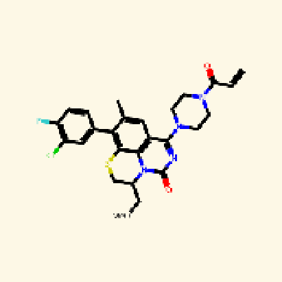 C=CC(=O)N1CCN(c2nc(=O)n3c4c(c(-c5ccc(F)c(Cl)c5)c(C)cc24)SCC3COC)CC1